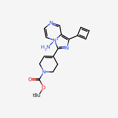 CC(C)(C)OC(=O)N1CC=C(C2=NC(C3=CC=C3)=C3C=NC=C[N+]23N)CC1